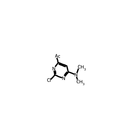 CC(=O)c1cc(N(C)C)nc(Cl)n1